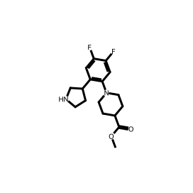 COC(=O)C1CCN(c2cc(F)c(F)cc2C2CCNC2)CC1